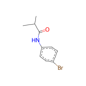 CC(C)C(=O)Nc1ccc(Br)cc1